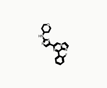 Fc1ccccc1-c1nc(-c2cnc(NC3CCOCC3)s2)cn2ccnc12